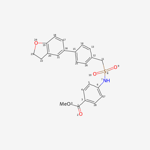 COC(=O)c1ccc(NS(=O)(=O)Cc2ccc(-c3ccc4c(c3)CCO4)cc2)cc1